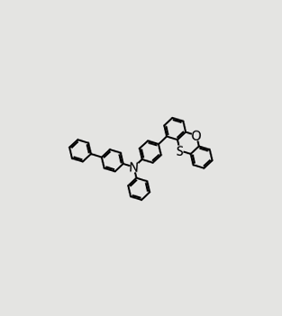 c1ccc(-c2ccc(N(c3ccccc3)c3ccc(-c4cccc5c4Sc4ccccc4O5)cc3)cc2)cc1